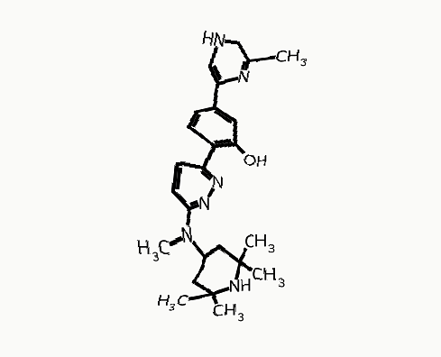 CC1=NC(c2ccc(-c3ccc(N(C)C4CC(C)(C)NC(C)(C)C4)nn3)c(O)c2)=CNC1